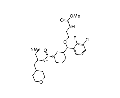 CNCC(CC1CCOCC1)NC(=O)N1CCCC(C(OCCNC(=O)OC)c2cccc(Cl)c2F)C1